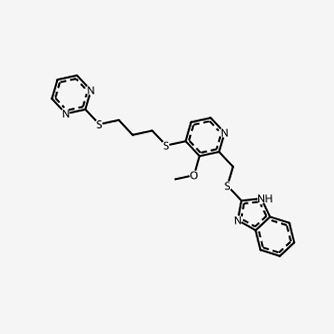 COc1c(SCCCSc2ncccn2)ccnc1CSc1nc2ccccc2[nH]1